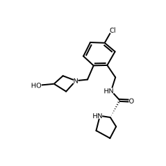 O=C(NCc1cc(Cl)ccc1CN1CC(O)C1)[C@@H]1CCCN1